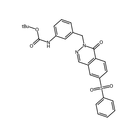 CC(C)(C)OC(=O)Nc1cccc(Cn2ncc3cc(S(=O)(=O)c4ccccc4)ccc3c2=O)c1